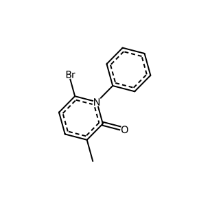 Cc1ccc(Br)n(-c2ccccc2)c1=O